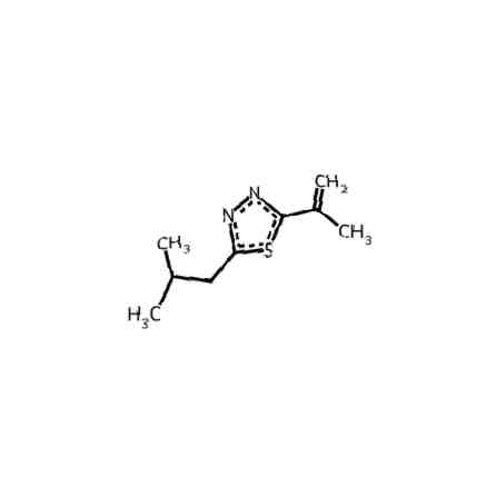 C=C(C)c1nnc(CC(C)C)s1